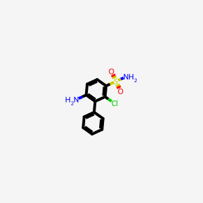 Nc1ccc(S(N)(=O)=O)c(Cl)c1-c1ccccc1